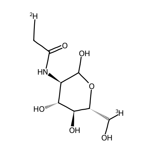 [2H]CC(=O)N[C@H]1C(O)O[C@H](C([3H])O)[C@@H](O)[C@@H]1O